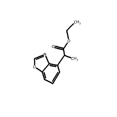 CCOC(=O)C(C)c1cccc2ocnc12